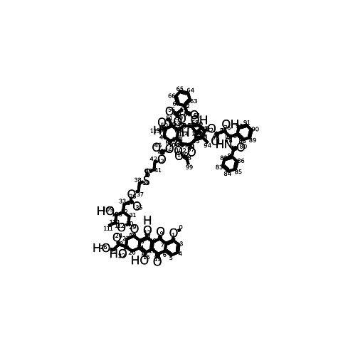 COc1cccc2c1C(=O)c1c(O)c3c(c(O)c1C2=O)CC(O)(C(=O)CO)C[C@@H]3OC1CC(CC(=O)OCCSSCCOC(=O)O[C@H]2C[C@H]3OC[C@@]3(OC(C)=O)[C@H]3[C@H](OC(=O)c4ccccc4)[C@]4(O)CC(OC(=O)[C@H](O)[C@@H](NC(=O)c5ccccc5)c5ccccc5)C(C)=C([C@@H](OC(C)=O)C(=O)[C@]23C)C4(C)C)C(O)C(C)O1